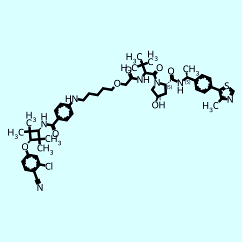 Cc1ncsc1-c1ccc([C@H](C)NC(=O)[C@@H]2C[C@@H](O)CN2C(=O)C(NC(=O)COCCCCCNc2ccc(C(=O)N[C@H]3C(C)(C)[C@H](Oc4ccc(C#N)c(Cl)c4)C3(C)C)cc2)C(C)(C)C)cc1